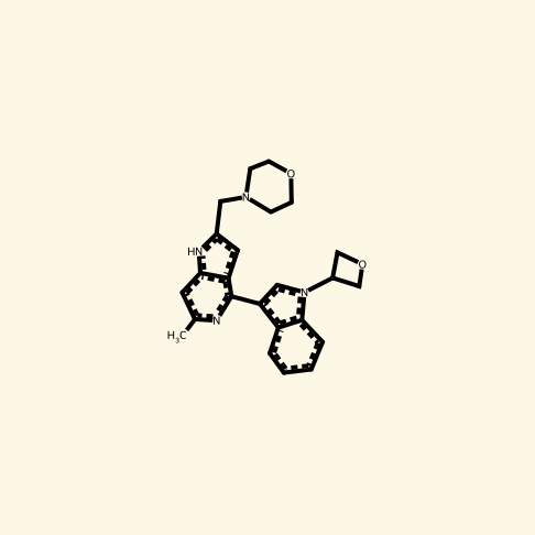 Cc1cc2[nH]c(CN3CCOCC3)cc2c(-c2cn(C3COC3)c3ccccc23)n1